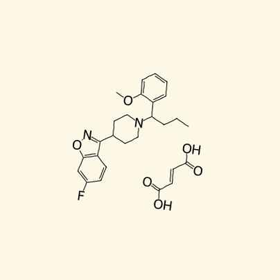 CCCC(c1ccccc1OC)N1CCC(c2noc3cc(F)ccc23)CC1.O=C(O)C=CC(=O)O